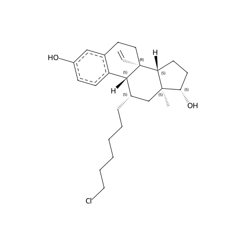 C=C[C@@]12CCc3cc(O)ccc3[C@H]1[C@@H](CCCCCCCl)C[C@@]1(C)[C@H]2CC[C@@H]1O